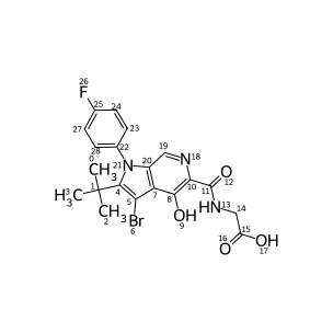 CC(C)(C)c1c(Br)c2c(O)c(C(=O)NCC(=O)O)ncc2n1-c1ccc(F)cc1